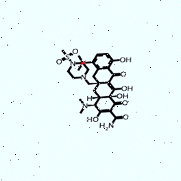 CN(C)c1ccc(O)c2c1C[C@@]1(CN3CCN(S(C)(=O)=O)CC3)C[C@H]3[C@H](N(C)C)C(O)=C(C(N)=O)C(=O)[C@@]3(O)C(O)=C1C2=O